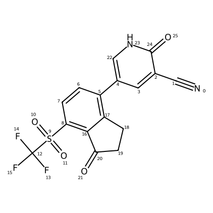 N#Cc1cc(-c2ccc(S(=O)(=O)C(F)(F)F)c3c2CCC3=O)c[nH]c1=O